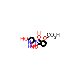 O=C(O)COc1cccc2c(O)n(C3CCC(O)NC3O)c(O)c12